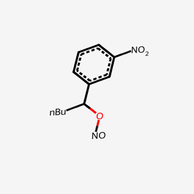 CCCCC(ON=O)c1cccc([N+](=O)[O-])c1